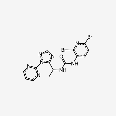 CC(NC(=O)Nc1ccc(Br)nc1Br)c1ncnn1-c1ncccn1